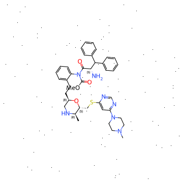 COC(=O)N(C(=O)[C@@H](N)C(c1ccccc1)c1ccccc1)c1ccccc1CC[C@@H]1CN[C@H](C)[C@@H](CSc2cc(N3CCN(C)CC3)ncn2)O1